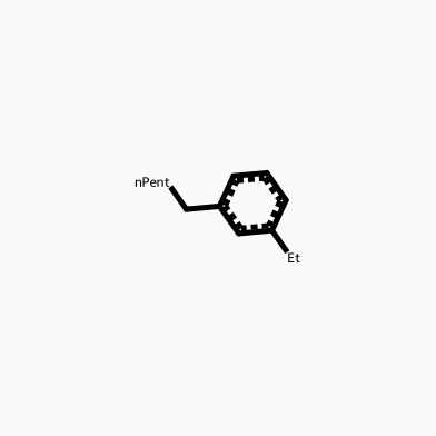 [CH2]CCCCCc1cccc(CC)c1